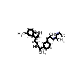 C=C(/C=C(C)\C=C/CC)Cc1cccc(C(=C)NCCc2c[nH]c3ccc(C)cc23)c1